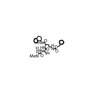 CNC(C)C(=O)NC(C(=O)NC(CCCNC(=O)OCc1ccccc1)C(=O)NC1CCCc2ccccc21)C(C)C